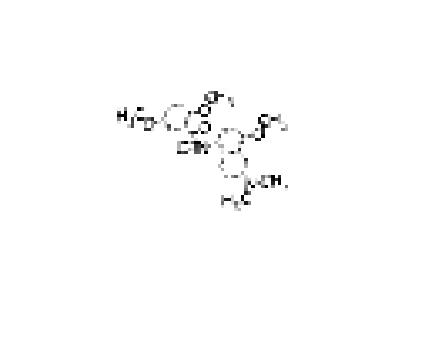 COc1ccc(OC)c(S(=O)(=O)Nc2ccc(OC)c3c2CC[C@H](N(C)C)C3)c1